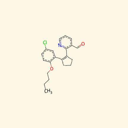 CCCCOc1ccc(Cl)cc1C1=C(c2ncccc2C=O)CCC1